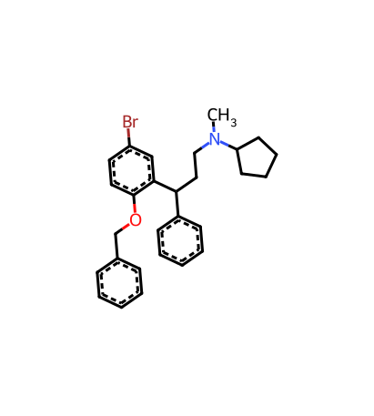 CN(CCC(c1ccccc1)c1cc(Br)ccc1OCc1ccccc1)C1CCCC1